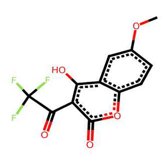 COc1ccc2oc(=O)c(C(=O)C(F)(F)F)c(O)c2c1